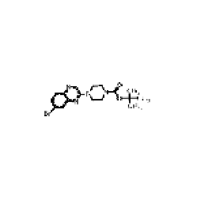 CC(C)(C)OC(=O)N1CCN(c2cnc3ccc(Br)cc3n2)CC1